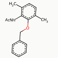 CC(=O)Nc1c(C)ccc(C)c1OCc1ccccc1